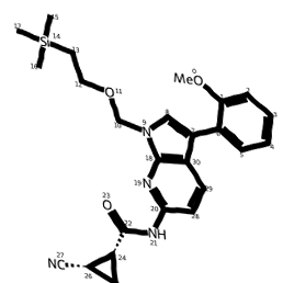 COc1ccccc1-c1cn(COCC[Si](C)(C)C)c2nc(NC(=O)[C@@H]3C[C@@H]3C#N)ccc12